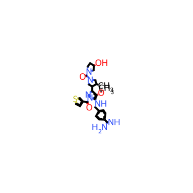 COc1c(C2CN(C(=O)N3CCC(O)C3)CC2C)nn(C(=O)c2ccsc2)c1NCc1ccc(C(=N)N)cc1